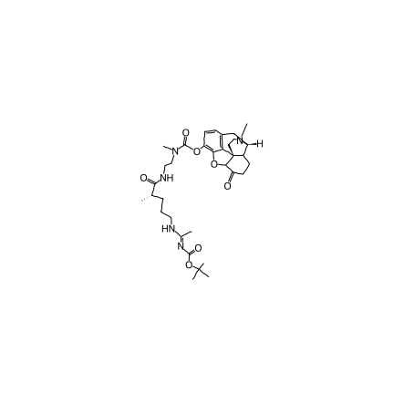 C/C(=N\C(=O)OC(C)(C)C)NCCC[C@H](C)C(=O)NCCN(C)C(=O)Oc1ccc2c3c1OC1C(=O)CCC4[C@@H](C2)N(C)CC[C@]314